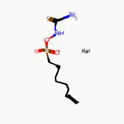 C=CCCCCS(=O)(=O)ONC(N)=S.[NaH]